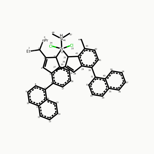 CCCC(CC)C1=Cc2c(-c3cccc4ccccc34)cccc2[CH]1[Zr]([Cl])([Cl])([CH]1C(C)=Cc2c(-c3cccc4ccccc34)ccc(C)c21)[SiH](C)C